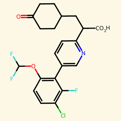 O=C1CCC(CC(C(=O)O)c2ccc(-c3c(OC(F)F)ccc(Cl)c3F)cn2)CC1